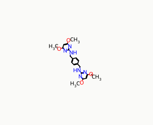 COc1cc(OC)nc(NCc2ccc(CNc3nc(OC)cc(OC)n3)cc2)n1